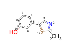 Cc1ncc(-c2cccc(O)c2)s1